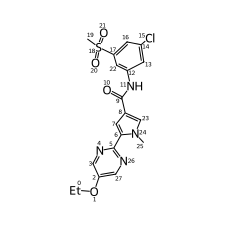 CCOc1cnc(-c2cc(C(=O)Nc3cc(Cl)cc(S(C)(=O)=O)c3)cn2C)nc1